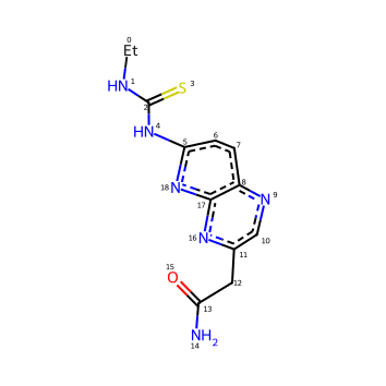 CCNC(=S)Nc1ccc2ncc(CC(N)=O)nc2n1